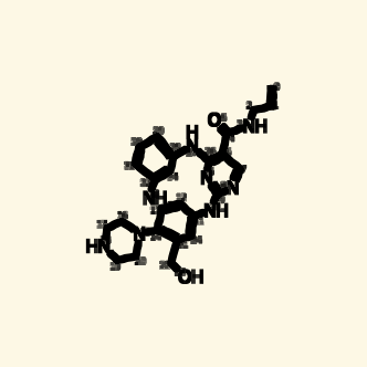 C=CCNC(=O)c1cnc(Nc2ccc(N3CCNCC3)c(CO)c2)nc1Nc1cccc(N)c1